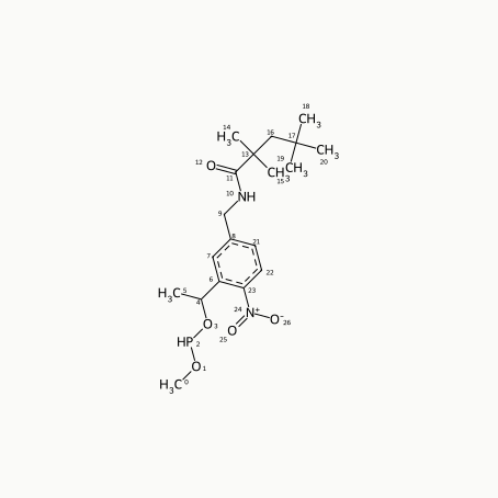 COPOC(C)c1cc(CNC(=O)C(C)(C)CC(C)(C)C)ccc1[N+](=O)[O-]